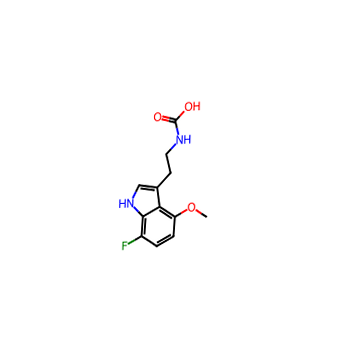 COc1ccc(F)c2[nH]cc(CCNC(=O)O)c12